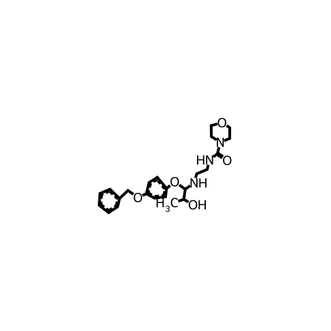 CC(O)C(NCCNC(=O)N1CCOCC1)Oc1ccc(OCc2ccccc2)cc1